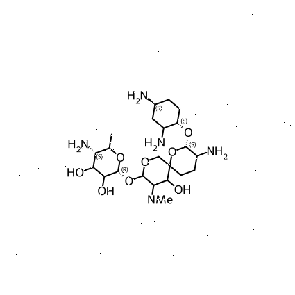 CNC1C(O[C@H]2OC(C)[C@@H](N)C(O)C2O)OCC2(CCC(N)[C@@H](O[C@H]3CC[C@H](N)CC3N)O2)C1O